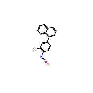 CCc1cc(-c2cccc3ccccc23)ccc1N=C=O